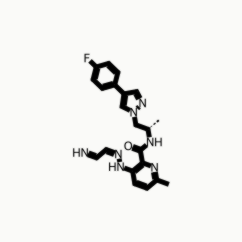 Cc1ccc(N/N=C\C=N)c(C(=O)N[C@@H](C)Cn2cc(-c3ccc(F)cc3)cn2)n1